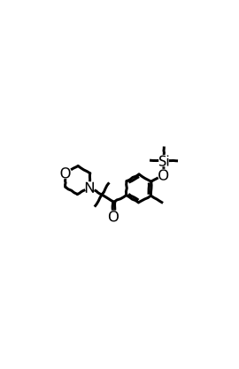 Cc1cc(C(=O)C(C)(C)N2CCOCC2)ccc1O[Si](C)(C)C